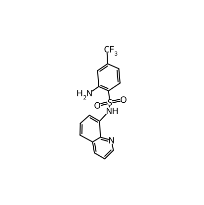 Nc1cc(C(F)(F)F)ccc1S(=O)(=O)Nc1cccc2cccnc12